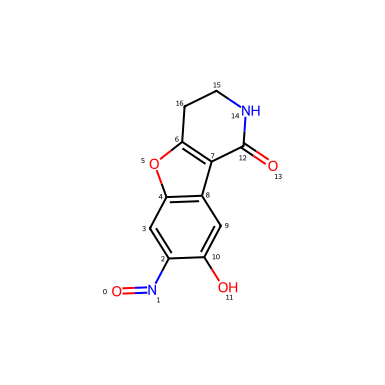 O=Nc1cc2oc3c(c2cc1O)C(=O)NCC3